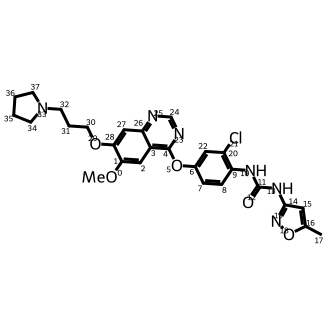 COc1cc2c(Oc3ccc(NC(=O)Nc4cc(C)on4)c(Cl)c3)ncnc2cc1OCCCN1CCCC1